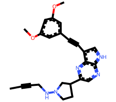 CC#CCNN1CCC(c2cnc3[nH]cc(C#Cc4cc(OC)cc(OC)c4)c3n2)C1